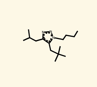 CCCCn1nnc(CC(C)C)c1CC(C)(C)C